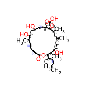 C=C/C=C\[C@H](C)[C@@H]1OC(=O)/C=C\C=C\[C@@H](C)[C@@H](O)C[C@H](O)/C=C\[C@H](C)[C@H](OC(=O)O)[C@@H](C)C[C@@H](C)CC[C@@H](O)[C@@H]1C